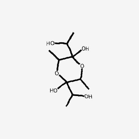 CC(O)C1(O)OC(C)C(O)(C(C)O)OC1C